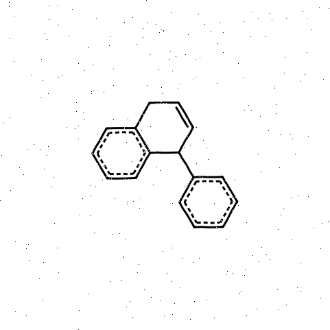 [C]1=CCc2ccccc2C1c1ccccc1